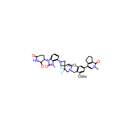 COc1cc(-c2cn(C)c(=O)c3c2CCC3)cc(OC)c1CN1CCC2(CN(c3cccc4c3n(C)c(=O)n4C3CCC(=O)NC3=O)C2)C(F)(F)C1